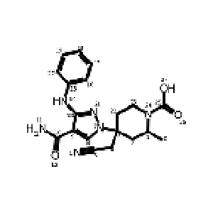 CC1CC(CC#N)(n2cc(C(N)=O)c(Nc3ccccc3)n2)CCN1C(=O)O